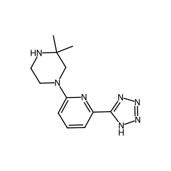 CC1(C)CN(c2cccc(-c3nnn[nH]3)n2)CCN1